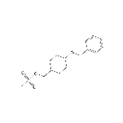 CS(=O)(=O)OCC1CCC(OCc2ccccc2)CC1